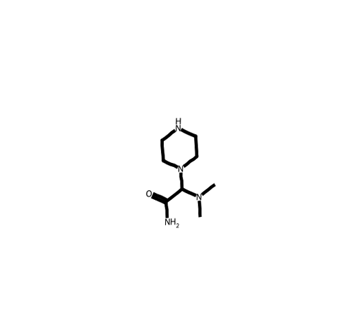 CN(C)C(C(N)=O)N1CCNCC1